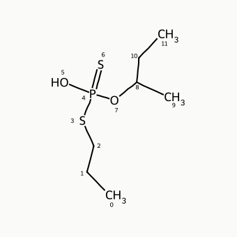 CCCSP(O)(=S)OC(C)CC